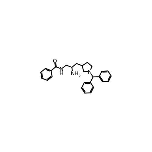 NC(CNC(=O)c1ccccc1)CC1CCN(C(c2ccccc2)c2ccccc2)C1